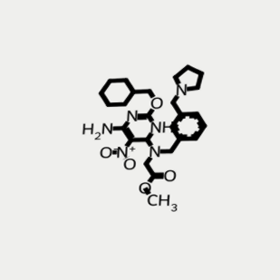 COC(=O)CN(Cc1cccc(CN2CCCC2)c1)C1NC(OCC2CCCCC2)=NC(N)=C1[N+](=O)[O-]